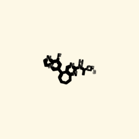 C[C@@H](Nc1ncc2c(n1)CCCC=C2c1cc(F)c2nccn2c1)C(F)(F)F